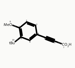 COc1ccc(C#CC(=O)O)cc1C(C)(C)C